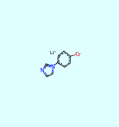 [Li+].[O-]c1ccc(-n2ccnc2)cc1